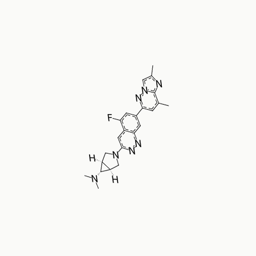 Cc1cn2nc(-c3cc(F)c4cc(N5C[C@@H]6[C@H](C5)[C@H]6N(C)C)nnc4c3)cc(C)c2n1